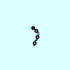 CC1CCC(/C=C/C2CCC(C(F)(F)OC3CCC(c4cc(F)cc(F)c4)CC3)CC2)CC1